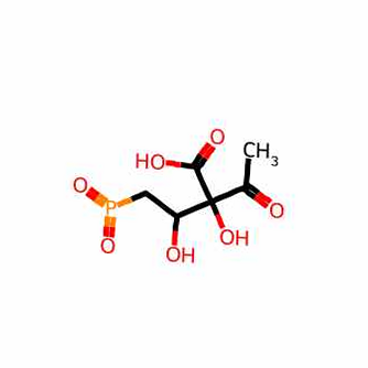 CC(=O)C(O)(C(=O)O)C(O)CP(=O)=O